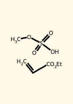 C=CC(=O)OCC.COS(=O)(=O)O